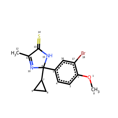 COc1ccc(C2(C3CC3)N=C(C)C(=S)N2)cc1Br